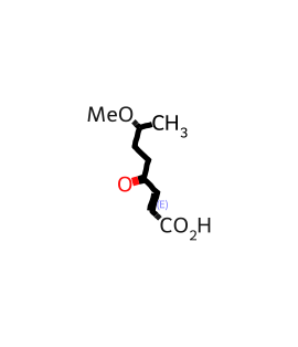 COC(C)CCC(=O)/C=C/C(=O)O